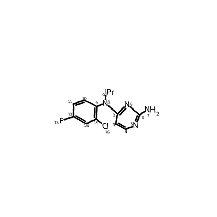 CC(C)N(c1ccnc(N)n1)c1ccc(F)cc1Cl